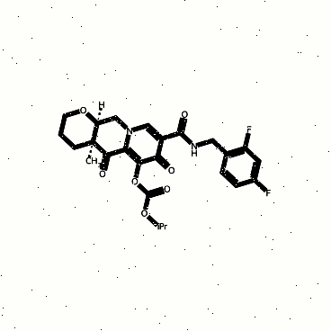 CC(C)OC(=O)Oc1c2n(cc(C(=O)NCc3ccc(F)cc3F)c1=O)C[C@@H]1OCCC[C@]1(C)C2=O